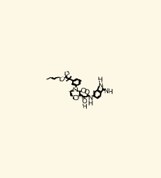 CCCCOC(=O)C(C)(C)c1cccc(N2CCO[C@H]([C@@H](O)C(=O)Nc3ccc4c(c3)CNC4=N)C2=O)c1